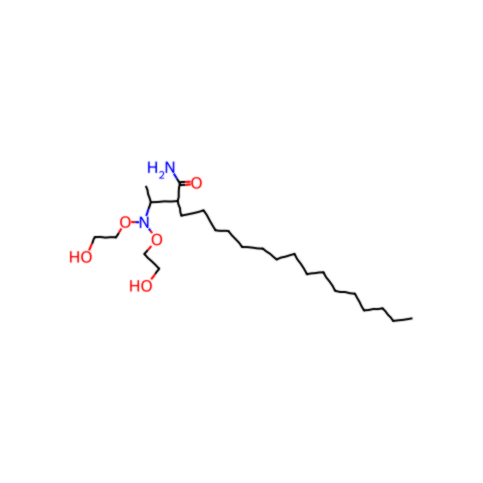 CCCCCCCCCCCCCCCCC(C(N)=O)C(C)N(OCCO)OCCO